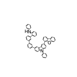 c1ccc(Nc2ccccc2-c2cccc(-c3cccc(-c4ccc5c(c4)c4cc(-c6cccc7c6oc6ccccc67)ccc4n5-c4ccccc4)c3)c2)cc1